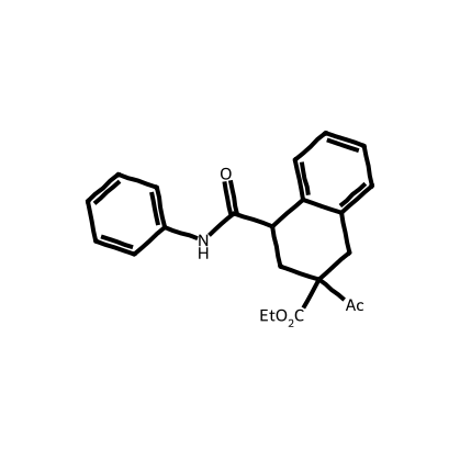 CCOC(=O)C1(C(C)=O)Cc2ccccc2C(C(=O)Nc2ccccc2)C1